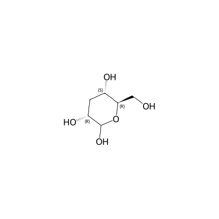 OC[C@H]1OC(O)[C@H](O)C[C@@H]1O